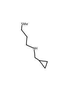 CSCCCNCC1CC1